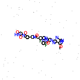 CCOc1cc(-c2ccc(N3CCC(CN4CCC5(CCC(CC(=O)N6CCC(c7ccc8c(c7)C(=O)N(C7CCC(=O)NC7=O)C8)CC6)CC5)CC4)(NC(=O)c4cc(F)ccc4F)CC3)nc2)c2c(C#N)cnn2c1